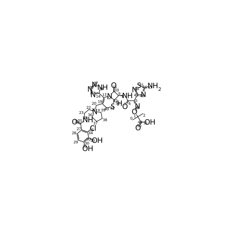 CC(C)(O/N=C(\C(=O)N[C@@H]1C(=O)N2C(c3nnn[nH]3)=C(C[N+]3(CCNC(=O)c4ccc(O)c(O)c4Cl)CCCC3)CS[C@H]12)c1nsc(N)n1)C(=O)O